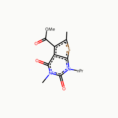 CCCn1c(=O)n(C)c(=O)c2c(C(=O)OC)c(C)sc21